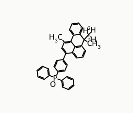 [2H]C([2H])([2H])C1(C)c2ccccc2-c2c(C)cc(-c3ccc(P(=O)(c4ccccc4)c4ccccc4)cc3)c3cccc1c23